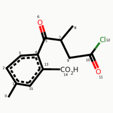 Cc1ccc(C(=O)C(C)CC(=O)Cl)c(C(=O)O)c1